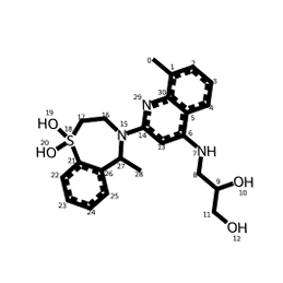 Cc1cccc2c(NCC(O)CO)cc(N3CCS(O)(O)c4ccccc4C3C)nc12